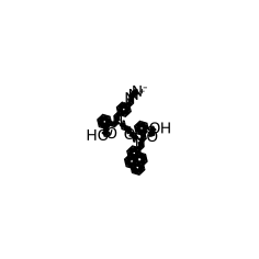 [N-]=[N+]=NCc1ccc(CN(CCCOCCN(Cc2ccccc2S(=O)O)Cc2ccc3ccc4cccc5ccc2c3c45)Cc2ccccc2S(=O)O)cc1